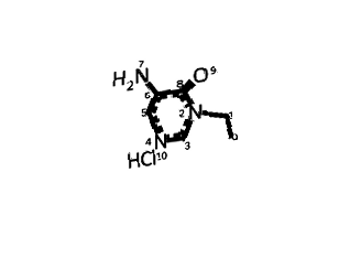 CCn1cncc(N)c1=O.Cl